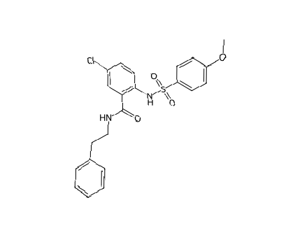 COc1ccc(S(=O)(=O)Nc2ccc(Cl)cc2C(=O)NCCc2ccccc2)cc1